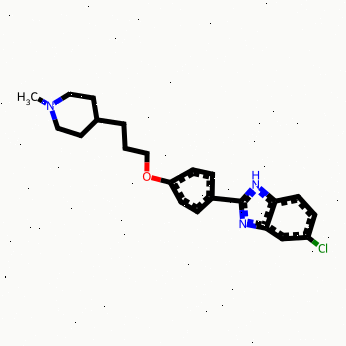 CN1CCC(CCCOc2ccc(-c3nc4cc(Cl)ccc4[nH]3)cc2)CC1